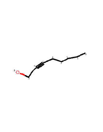 CCCCCC#CC[O]